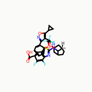 O=C(O)c1cc2sc(NC3C4CC[C@H]3CC(OCc3c(-c5ccccc5OC(F)(F)F)noc3C3CC3)C4)nc2c(F)c1F